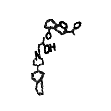 CC(=O)c1cc2c(OC[C@@H](O)CN3CCC(c4ccc5ccccc5c4)CC3)cccc2o1